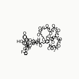 C[C@H](NC(=O)CCc1ccc(N2C(=O)C=CC2=O)c(F)c1OCCCC(=O)N(C)CC(=O)N(C)CC(=O)N(C)CC(=O)N(C)CC(=O)N(C)CC(=O)N(C)CC(=O)N(C)CC(=O)N(C)CC(=O)N(C)CC(=O)N(C)CC(=O)O)C(=O)N[C@@H](C)C(=O)NCOCC(=O)[C@@]12O[C@H](c3sccc3F)O[C@@H]1C[C@H]1[C@@H]3CCC4=CC(=O)C=C[C@]4(C)[C@@]3(F)[C@@H](O)C[C@@]12C